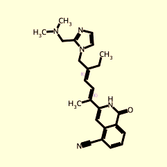 CC/C(=C\C=C(/C)c1cc2c(C#N)cccc2c(=O)[nH]1)Cn1ccnc1CN(C)C